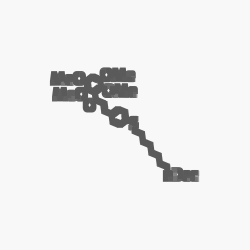 CCCCCCCCCCCCCCCCCCSc1ccc(C=CC(=O)c2c(OC)c(OC)cc(OC)c2OC)cc1